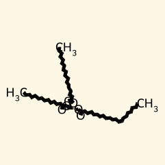 CCCCCCCC/C=C\CCCCCCCCCCCC(=O)OC[C@H](COC(=O)CCCCCCCCCCCCC)OC(=O)CCCCCCCCCCCCCCCCC